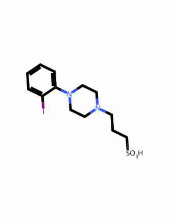 O=S(=O)(O)CCCN1CCN(c2ccccc2I)CC1